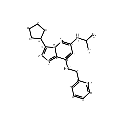 CCC(CC)Nc1cc(NCc2ccccn2)c2nnc(C3CCCC3)n2n1